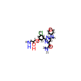 CNCC(O)COc1cc(Cl)cc(-c2nc(C3OC3N(C)C)cc(N(C)C3CCOCC3)n2)c1